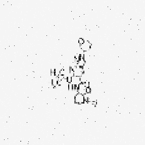 CC(C)Oc1nc2nn([C@H]3CCCOC3)cc2cc1C(=O)Nc1cccn(C2CC2)c1=O